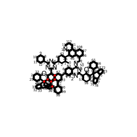 CC1CC(c2nc(-c3ccccc3)nc(-c3cccc4c3Oc3ccccc3C43c4ccccc4-c4ccccc43)n2)=CC=C1c1cc2c([C@H](C)/N=C(\N=C(/N)C3=CCCC4=C3Oc3ccccc3C43c4ccccc4-c4ccccc43)c3ccc(-c4ccc5c6ccccc6c6ccccc6c5c4)cc3)cccc2c2cccnc12